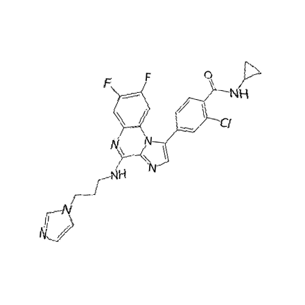 O=C(NC1CC1)c1ccc(-c2cnc3c(NCCCn4ccnc4)nc4cc(F)c(F)cc4n23)cc1Cl